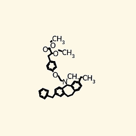 CCOC(=O)C(Cc1ccc(OCCN(C)C2c3ccc(Cc4ccccc4)cc3CCc3ccc(CC)cc32)cc1)OCC